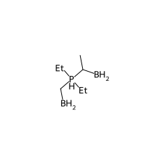 BC[PH](CC)(CC)C(B)C